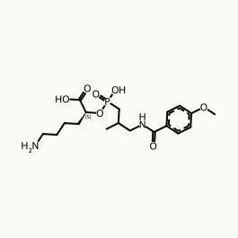 COc1ccc(C(=O)NCC(C)CP(=O)(O)O[C@@H](CCCCN)C(=O)O)cc1